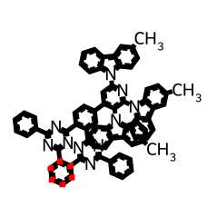 Cc1ccc2c(c1)c1ccccc1n2-c1cc(-c2ccc(-c3nc(-c4ccccc4)nc(-c4ccccc4)n3)c(-c3nc(-c4ccccc4)nc(-c4ccccc4)n3)c2)c(-n2c3ccccc3c3cc(C)ccc32)c(-n2c3ccccc3c3cc(C)ccc32)n1